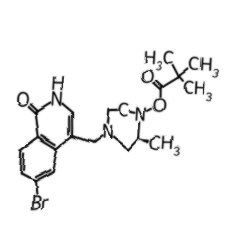 C[C@H]1CN(Cc2c[nH]c(=O)c3ccc(Br)cc23)CCN1OC(=O)C(C)(C)C